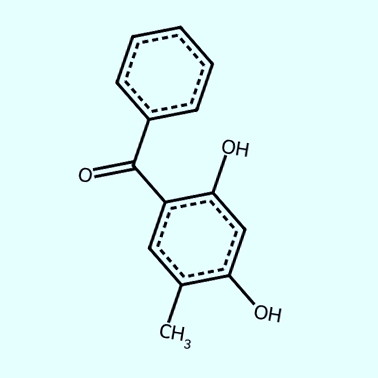 Cc1cc(C(=O)c2ccccc2)c(O)cc1O